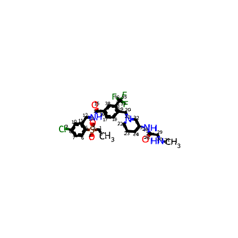 CCS(=O)(=O)c1ccc(Cl)cc1CNC(=O)c1ccc(CN2CCC[C@H](NC(=O)CNC)C2)c(C(F)(F)F)c1